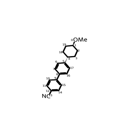 CO[C@H]1CC[C@H](c2ccc(-c3ccc(C#N)cc3)cc2)CC1